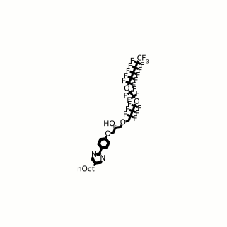 CCCCCCCCc1cnc(-c2ccc(OC[C@@H](O)COCC(F)(F)C(F)(F)C(F)(F)OC(F)(F)C(F)(F)OC(F)(F)C(F)(F)C(F)(F)C(F)(F)C(F)(F)C(F)(F)F)cc2)nc1